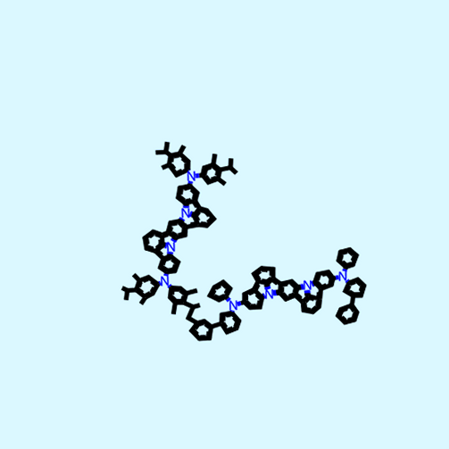 Cc1cc(N(c2cc(C)c(C(C)C)c(C)c2)c2ccc3c(c2)c2cccc4c5cc6c(cc5n3c24)c2cccc3c4cc(N(c5cc(C)c(C(C)C)c(C)c5)c5cc(C)c(C(C)Cc7cccc(-c8cccc(N(c9ccccc9)c9ccc%10c(c9)c9cccc%11c%12cc%13c(cc%12n%10c9%11)c9cccc%10c%11cc(N(c%12ccccc%12)c%12cccc(-c%14ccccc%14)c%12)ccc%11n%13c%109)c8)c7)c(C)c5)ccc4n6c32)cc(C)c1C(C)C